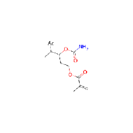 C=C(C)C(=O)OCCC(OC(N)=O)C(C)C(C)=O